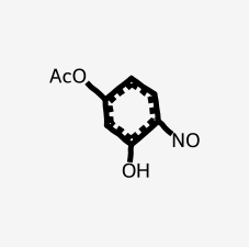 CC(=O)Oc1ccc(N=O)c(O)c1